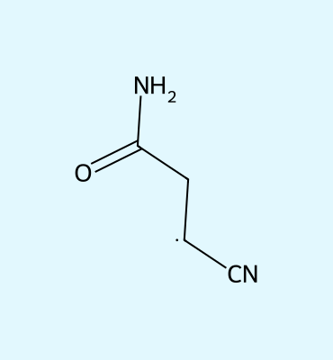 N#C[CH]CC(N)=O